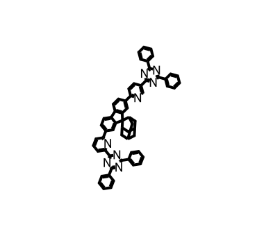 c1ccc(-c2nc(-c3ccccc3)nc(-c3ccc(-c4ccc5c(c4)C4(c6cc(-c7cccc(-c8nc(-c9ccccc9)nc(-c9ccccc9)n8)n7)ccc6-5)C5CC6CC(C5)CC4C6)nc3)n2)cc1